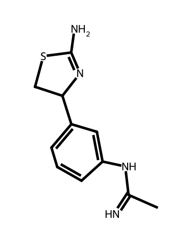 CC(=N)Nc1cccc(C2CSC(N)=N2)c1